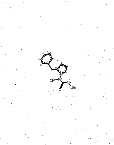 CC(C)(C)OC(=O)N(Cl)n1cccc1Cc1ccccc1